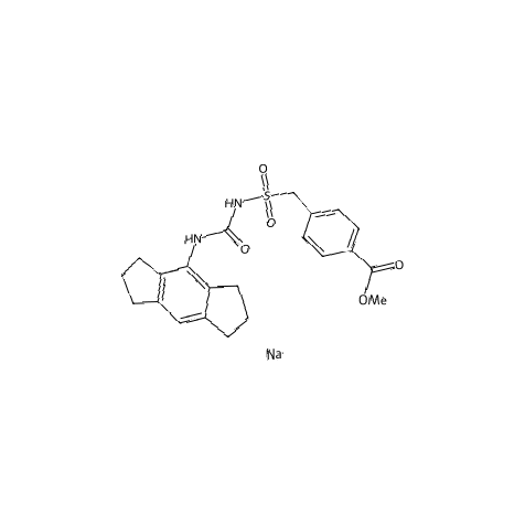 COC(=O)c1ccc(CS(=O)(=O)NC(=O)Nc2c3c(cc4c2CCC4)CCC3)cc1.[Na]